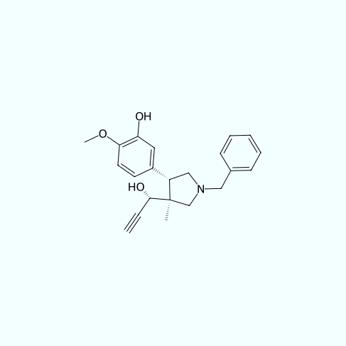 C#C[C@H](O)[C@]1(C)CN(Cc2ccccc2)C[C@H]1c1ccc(OC)c(O)c1